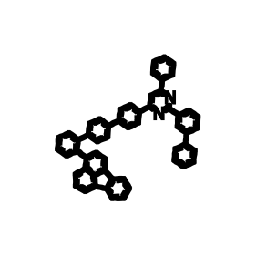 c1ccc(-c2cccc(-c3nc(-c4ccccc4)cc(-c4ccc(-c5ccc(-c6ccccc6-c6ccc7c8c(cccc68)-c6ccccc6-7)cc5)cc4)n3)c2)cc1